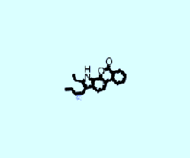 C=C/C=C\c1c(CC)[nH]c2c1ccc1c3ccccc3c(=O)oc12